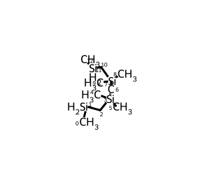 C[SiH2]C[Si](C)(C)C[Si](C)(C)C[SiH2]C